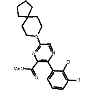 COC(=O)c1nc(N2CCC3(CCCC3)CC2)cnc1-c1cccc(Cl)c1Cl